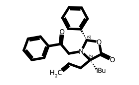 C=CC[C@]1(C(C)CC)C(=O)O[C@@H](c2ccccc2)N1CC(=O)c1ccccc1